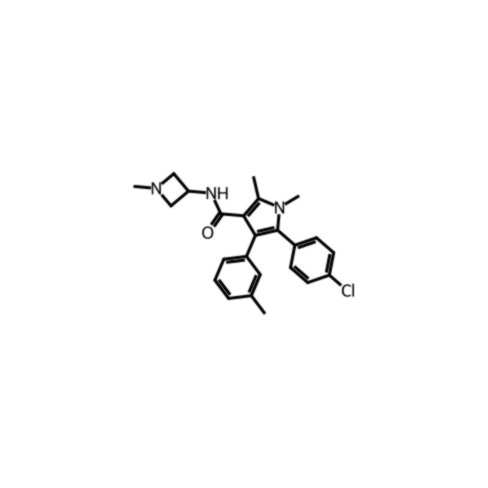 Cc1cccc(-c2c(C(=O)NC3CN(C)C3)c(C)n(C)c2-c2ccc(Cl)cc2)c1